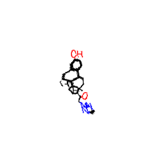 C[C@]12CCC3c4ccc(O)cc4CC[C@H]3[C@@H]1CC[C@@H]2C(=O)Cn1nccn1